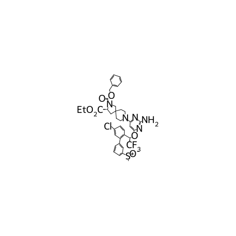 CCOC(=O)[C@@H]1CC2(CCN(c3cc(O[C@H](c4ccc(Cl)cc4-c4cccc([S+](C)[O-])c4)C(F)(F)F)nc(N)n3)CC2)CN1C(=O)OCc1ccccc1